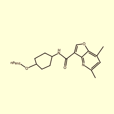 CCCCCOC1CCC(NC(=O)c2coc3c(C)cc(C)nc23)CC1